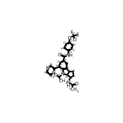 CC(=O)NC1CCC2c3cc(C(=O)Nc4ccc(OC(F)(F)Cl)cc4)cc(-c4cnccn4)c3N(C(C)C)C12